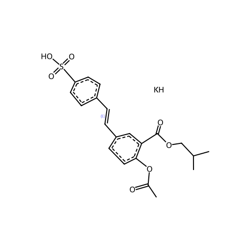 CC(=O)Oc1ccc(/C=C/c2ccc(S(=O)(=O)O)cc2)cc1C(=O)OCC(C)C.[KH]